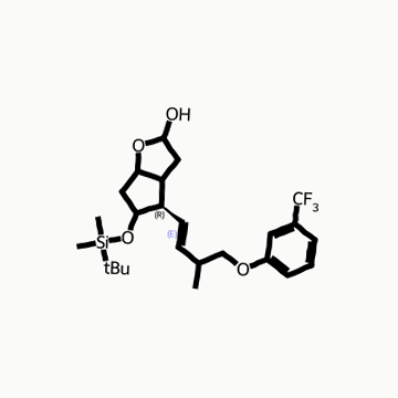 CC(/C=C/[C@H]1C(O[Si](C)(C)C(C)(C)C)CC2OC(O)CC21)COc1cccc(C(F)(F)F)c1